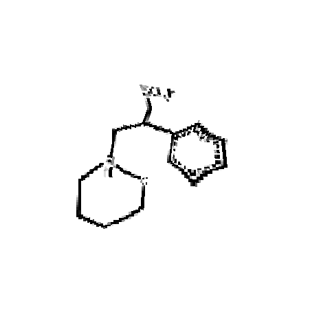 O=S(=O)(O)C(C[SiH]1CCCCO1)c1ccccc1